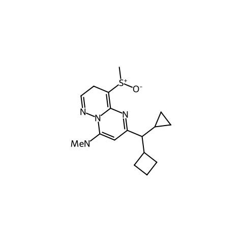 CNC1=CC(C(C2CCC2)C2CC2)=NC2=C([S+](C)[O-])CC=NN12